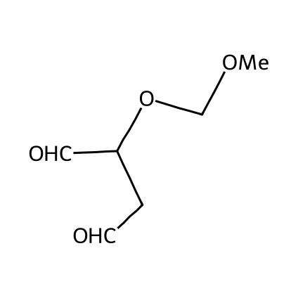 COCOC(C=O)CC=O